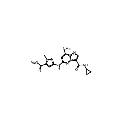 CNC(=O)c1cc(Nc2cc(NC)c3ncc(C(=O)NC4CC4)n3n2)nn1C